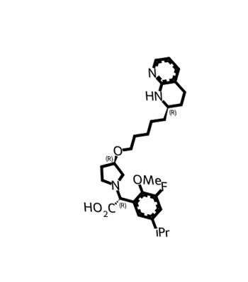 COc1c(F)cc(C(C)C)cc1[C@H](C(=O)O)N1CC[C@@H](OCCCCC[C@@H]2CCc3cccnc3N2)C1